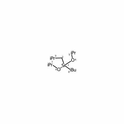 CCC(C)[Si](CC(C)C)(OC(C)C)OC(C)C